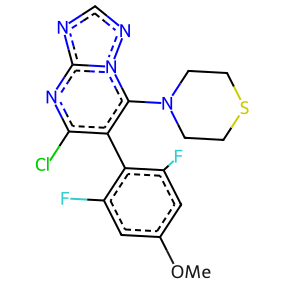 COc1cc(F)c(-c2c(Cl)nc3ncnn3c2N2CCSCC2)c(F)c1